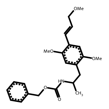 COC/C=C/c1cc(OC)c(CC(C)NC(=O)OCc2ccccc2)cc1OC